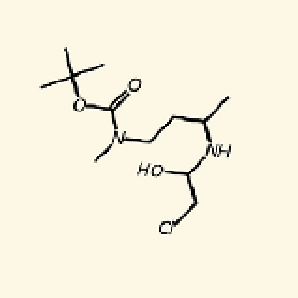 CC(CCN(C)C(=O)OC(C)(C)C)NC(O)CCl